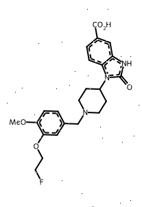 COc1ccc(CN2CCC(n3c(=O)[nH]c4cc(C(=O)O)ccc43)CC2)cc1OCCF